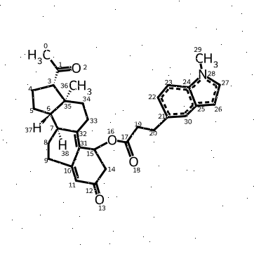 CC(=O)[C@H]1CC[C@H]2[C@@H]3CCC4=CC(=O)CC(OC(=O)CCc5ccc6c(ccn6C)c5)C4=C3CC[C@]12C